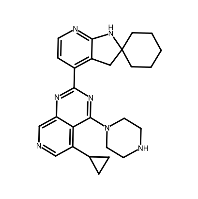 c1cc(-c2nc(N3CCNCC3)c3c(C4CC4)cncc3n2)c2c(n1)NC1(CCCCC1)C2